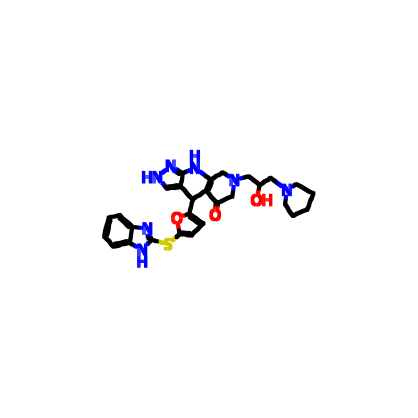 O=C1CN(CC(O)CN2CCCCC2)CC2=C1C(c1ccc(Sc3nc4ccccc4[nH]3)o1)c1c[nH]nc1N2